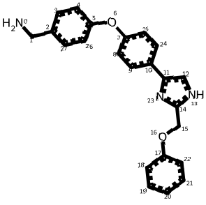 NCc1ccc(Oc2ccc(-c3c[nH]c(COc4ccccc4)n3)cc2)cc1